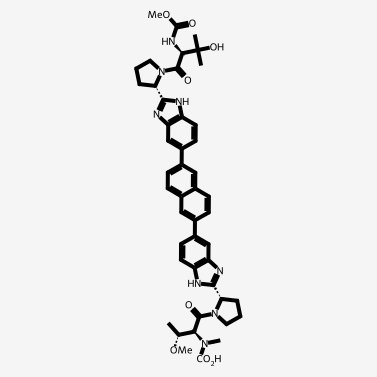 COC(=O)N[C@H](C(=O)N1CCC[C@H]1c1nc2cc(-c3ccc4cc(-c5ccc6[nH]c([C@@H]7CCCN7C(=O)[C@H]([C@@H](C)OC)N(C)C(=O)O)nc6c5)ccc4c3)ccc2[nH]1)C(C)(C)O